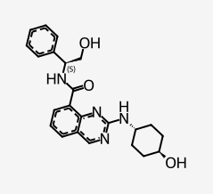 O=C(N[C@H](CO)c1ccccc1)c1cccc2cnc(N[C@H]3CC[C@H](O)CC3)nc12